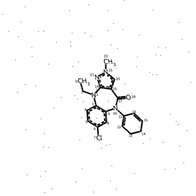 CCN1c2ccc(Cl)cc2N(C2=CCCC=C2)C(=O)c2cn(C)nc21